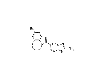 Nc1nc2ccc(-c3nc4cc(Br)cc5c4n3CCCO5)cn2n1